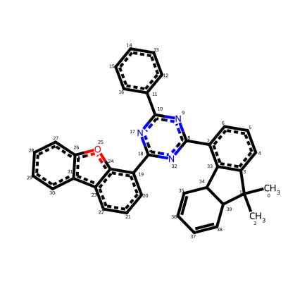 CC1(C)c2cccc(-c3nc(-c4ccccc4)nc(-c4cccc5c4oc4ccccc45)n3)c2C2C=CC=CC21